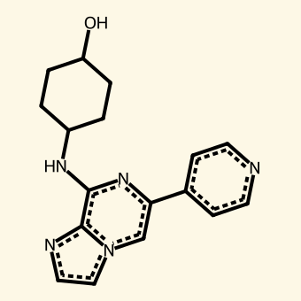 OC1CCC(Nc2nc(-c3ccncc3)cn3ccnc23)CC1